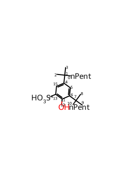 CCCCCC(C)(C)c1cc(C(C)(C)CCCCC)c(O)c(S(=O)(=O)O)c1